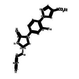 CCOC(=O)c1cnn(-c2ccc(N3C[C@H](CN=[N+]=[N-])OC3=O)cc2F)c1